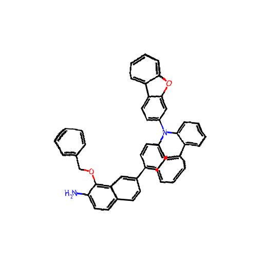 Nc1ccc2ccc(-c3ccc(N(c4ccc5c(c4)oc4ccccc45)c4ccccc4-c4ccccc4)cc3)cc2c1OCc1ccccc1